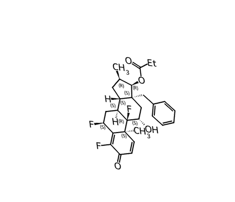 CCC(=O)O[C@@H]1[C@H](C)C[C@H]2[C@@H]3C[C@H](F)C4=C(F)C(=O)C=C[C@]4(C)[C@@]3(F)[C@@H](O)C[C@]12Cc1ccccc1